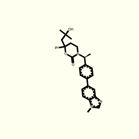 CC(C)C1(CC(C)(C)O)CCN([C@@H](C)c2ccc(-c3ccc4c(c3)ncn4C)cc2)C(=O)O1